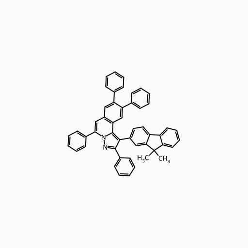 CC1(C)c2ccccc2-c2ccc(-c3c(-c4ccccc4)nn4c(-c5ccccc5)cc5cc(-c6ccccc6)c(-c6ccccc6)cc5c34)cc21